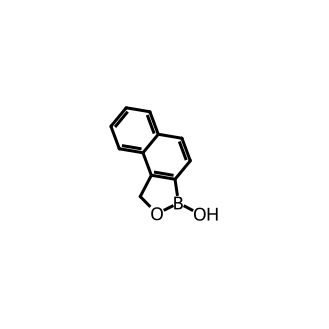 OB1OCc2c1ccc1ccccc21